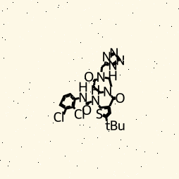 CC(C)(C)c1cc(C(=O)N2CCC(=O)N(Cc3nnn[nH]3)CC2)c(NC(=O)Nc2cccc(Cl)c2Cl)s1